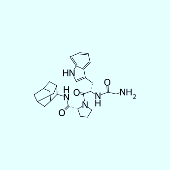 NCC(=O)N[C@@H](Cc1c[nH]c2ccccc12)C(=O)N1CCC[C@@H]1C(=O)NC1C2CC3CC(C2)CC1C3